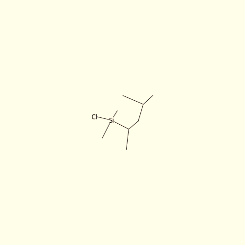 CC(C)CC(C)[Si](C)(C)Cl